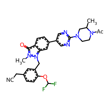 CC(=O)N1CCN(c2ncc(-c3ccc4c(=O)n(C)n(Cc5cc(CC#N)ccc5OC(F)F)c4c3)cn2)CC1C